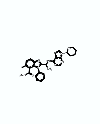 COC(=O)c1c(F)ccc2nc(C(C)Nc3ncnc4c3ncn4[C@@H]3CCCCO3)n(-c3ccccc3)c12